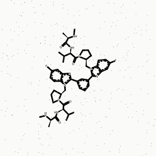 CN[C@H](C)C(=O)N[C@@H](C(=O)N1CCC[C@H]1Cn1c(-c2cccc(-c3nc4cc(F)ccc4n3C[C@@H]3CCCN3C(=O)[C@H](NC(=O)[C@@H](C)NC)C(C)C)c2)nc2cc(F)ccc21)C(C)C